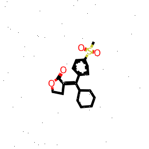 CS(=O)(=O)c1ccc(/C(=C2/CCOC2=O)C2CCCCC2)cc1